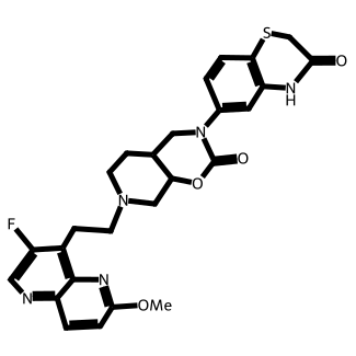 COc1ccc2ncc(F)c(CCN3CCC4CN(c5ccc6c(c5)NC(=O)CS6)C(=O)OC4C3)c2n1